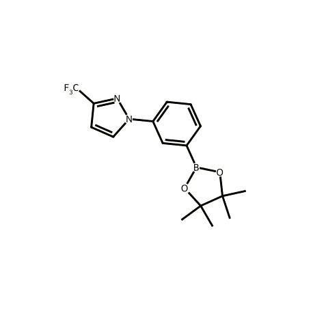 CC1(C)OB(c2cccc(-n3ccc(C(F)(F)F)n3)c2)OC1(C)C